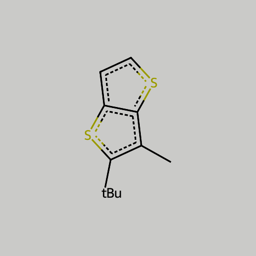 Cc1c(C(C)(C)C)sc2ccsc12